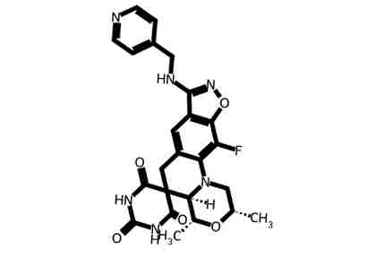 C[C@H]1CN2c3c(cc4c(NCc5ccncc5)noc4c3F)CC3(C(=O)NC(=O)NC3=O)[C@@H]2[C@@H](C)O1